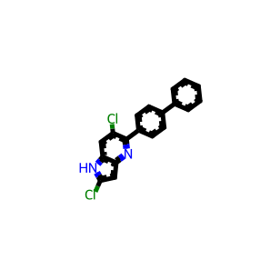 Clc1cc2nc(-c3ccc(-c4ccccc4)cc3)c(Cl)cc2[nH]1